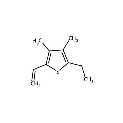 C=Cc1sc(CC)c(C)c1C